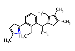 CCc1c(C2=NC(C)=CC2)cccc1C(C)C1=C(C)C(C)=C(C)C1